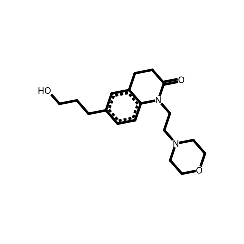 O=C1CCc2cc(CCCO)ccc2N1CCN1CCOCC1